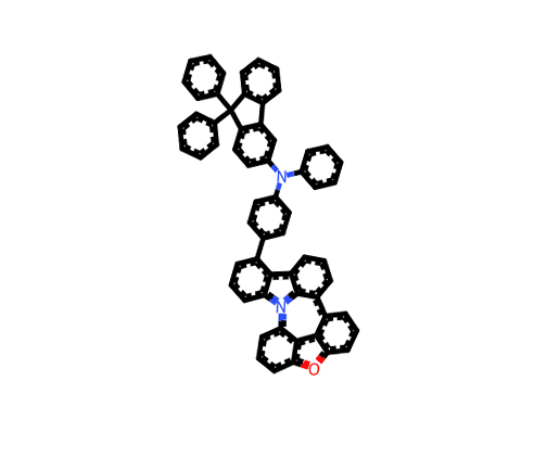 c1ccc(N(c2ccc(-c3cccc4c3c3cccc5c6cccc7oc8cccc(c8c76)n4c53)cc2)c2ccc3c(c2)-c2ccccc2C3(c2ccccc2)c2ccccc2)cc1